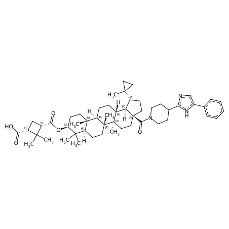 CC1([C@@H]2CC[C@]3(C(=O)N4CCC(c5ncc(-c6ccccc6)[nH]5)CC4)CC[C@]4(C)[C@H](CC[C@@H]5[C@@]6(C)CC[C@H](OC(=O)[C@H]7C[C@@H](C(=O)O)C7(C)C)C(C)(C)[C@@H]6CC[C@]54C)[C@@H]23)CC1